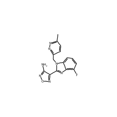 Cc1ccc(Cn2c(-c3nonc3N)nc3c(F)cccc32)nn1